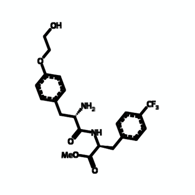 COC(=O)[C@H](Cc1ccc(C(F)(F)F)cc1)NC(=O)[C@@H](N)Cc1ccc(OCCO)cc1